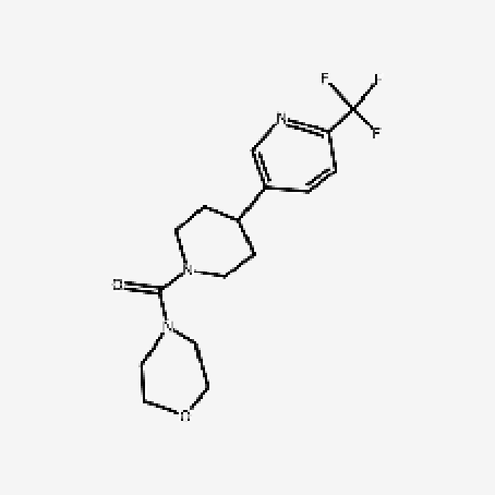 O=C(N1CCOCC1)N1CCC(c2ccc(C(F)(F)F)nc2)CC1